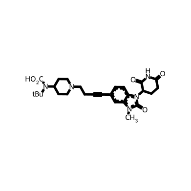 Cn1c(=O)n(C2CCC(=O)NC2=O)c2ccc(C#CCCN3CCC(N(C(=O)O)C(C)(C)C)CC3)cc21